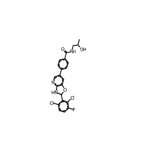 CC(O)CNC(=O)c1ccc(-c2cnc3c(c2)OC(c2c(Cl)ccc(F)c2Cl)N3)cc1